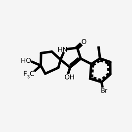 Cc1ccc(Br)cc1C1=C(O)C2(CCC(O)(C(F)(F)F)CC2)NC1=O